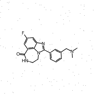 CN(C)Cc1cccc(-c2nc3cc(F)cc4c3n2CCNC4=O)c1